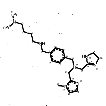 CCCN(CCC)CCCCNCc1ccc(CN(CC2=NCCN2)Cc2nccn2C)cc1